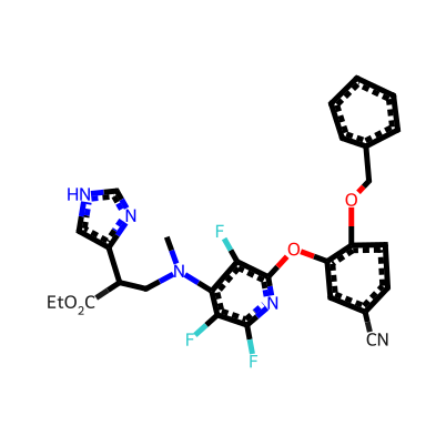 CCOC(=O)C(CN(C)c1c(F)c(F)nc(Oc2cc(C#N)ccc2OCc2ccccc2)c1F)c1c[nH]cn1